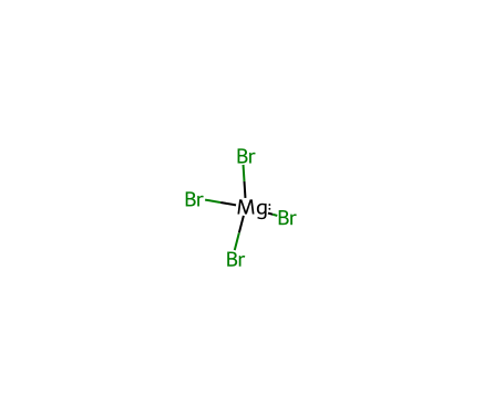 [Br][Mg]([Br])([Br])[Br]